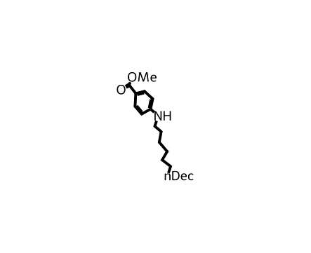 CCCCCCCCCCCCCCCCNc1ccc(C(=O)OC)cc1